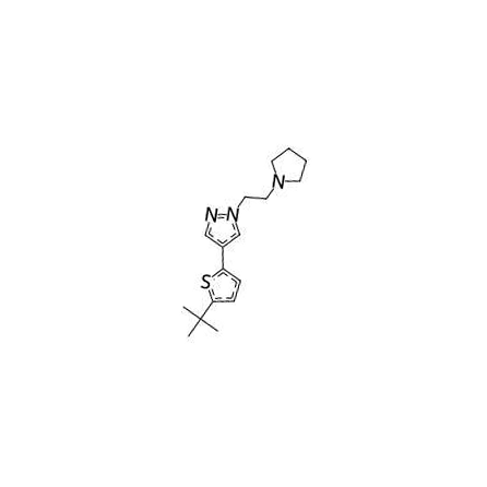 CC(C)(C)c1ccc(-c2cnn(CCN3CCCC3)c2)s1